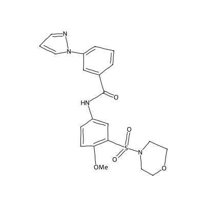 COc1ccc(NC(=O)c2cccc(-n3cccn3)c2)cc1S(=O)(=O)N1CCOCC1